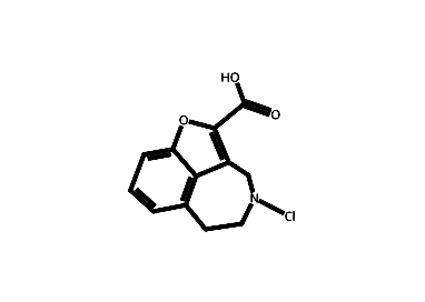 O=C(O)c1oc2cccc3c2c1CN(Cl)CC3